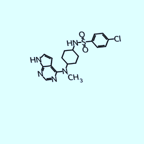 CN(c1ncnc2[nH]ccc12)C1CCC(NS(=O)(=O)c2ccc(Cl)cc2)CC1